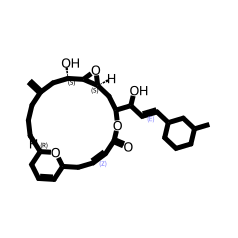 C=C1CCC[C@@H]2CC=CC(C/C=C\C(=O)OC(C(O)/C=C/C3CCCC(C)C3)C[C@@H]3OC3[C@@H](O)C1)O2